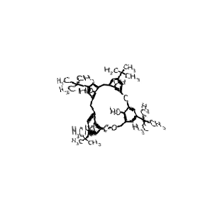 CC(C)(C)c1cc2c(O)c(c1)Cc1cc(C(C)(C)C)cc(c1O)Cc1cc(C(C)(C)C)cc(c1O)Cc1cc(C(C)(C)C)cc(c1O)COC2